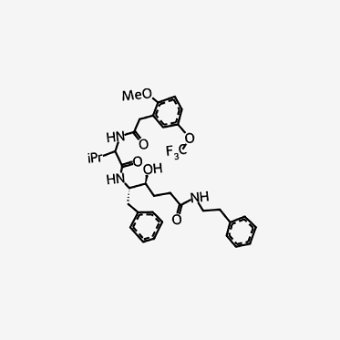 COc1ccc(OC(F)(F)F)cc1CC(=O)NC(C(=O)N[C@@H](Cc1ccccc1)[C@@H](O)CCC(=O)NCCc1ccccc1)C(C)C